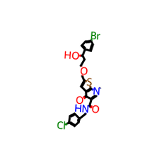 Cn1cc(C(=O)NCc2ccc(Cl)cc2)c(=O)c2cc(COCCC(O)c3ccc(Br)cc3)sc21